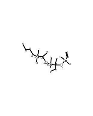 C=C[Si](C)(C)OC(C)(CC)[Si](C)(C)OC(C)[Si](C)(C)CCCC